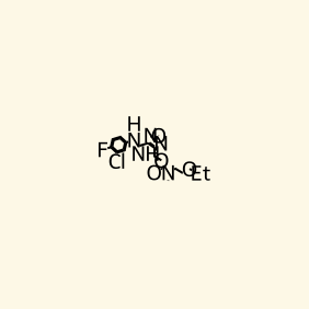 CCOCCN(C)C(=O)OCc1nonc1C(=N)Nc1ccc(F)c(Cl)c1